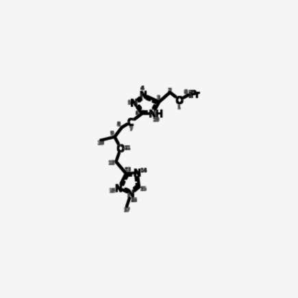 CC(C)OCc1nnc(CCC(C)OCc2ncn(C)n2)[nH]1